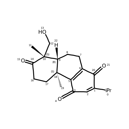 CC(C)C1=CC(=O)C2=C(CC[C@H]3[C@@](C)(CO)C(=O)CC[C@]23C)C1=O